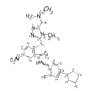 CN(C)Cc1nnc(Sc2ccc([N+](=O)[O-])cc2C(=O)Nc2ncc(C3CCCC3)cc2F)n1C